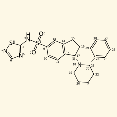 O=S(=O)(Nc1ncns1)c1ccc2c(c1)CC[C@@H]2N1CCCC[C@H]1c1ccccc1